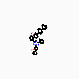 C=N/C(=N\C(=N/Cc1ccccc1)c1ccc2c(c1)oc1ccccc12)c1cccc2oc3cc(-c4ccc(-c5ccccc5)cc4)ccc3c12